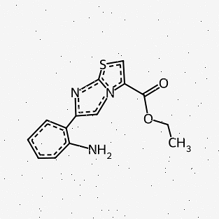 CCOC(=O)c1csc2nc(-c3ccccc3N)cn12